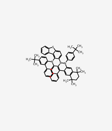 CC(C)(C)c1ccc(N2B3c4ccc5sc6ccccc6c5c4N(c4ccc(C(C)(C)C)cc4-c4ccccc4)c4cc5ccccc5c(c43)-c3cc4c(cc32)C(C)(C)CCC4(C)C)cc1